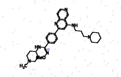 CO/N=C(\NC1CCN(C)CC1)c1ccc(-c2cc(NCCCN3CCCCC3)c3cnccc3n2)cc1